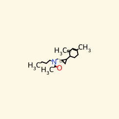 CCCCN(C[C@H]1CC1C1CCC(C)=C[C@@H]1C)C(C)=O